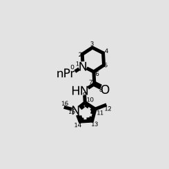 CCCN1CCCCC1C(=O)Nc1c(C)ccn1C